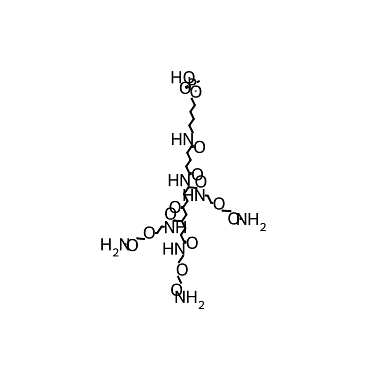 CP(=O)(O)OCCCCCCNC(=O)CCCC(=O)NC(CCC(=O)CC(CCC(=O)NCCOCCON)C(=O)NCCOCCON)C(=O)NCCOCCON